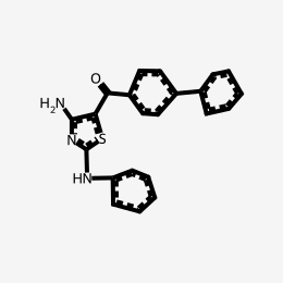 Nc1nc(Nc2ccccc2)sc1C(=O)c1ccc(-c2ccccc2)cc1